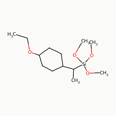 CCOC1CCC(C(C)[Si](OC)(OC)OC)CC1